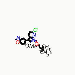 COc1cc2ocnc2cc1-c1cn(COCC[Si](C)(C)C)c2nc(Cl)ccc12